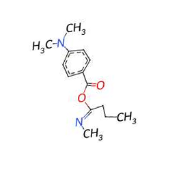 CCC/C(=N\C)OC(=O)c1ccc(N(C)C)cc1